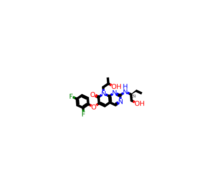 CC[C@@H](CO)Nc1ncc2cc(Oc3ccc(F)cc3F)c(=O)n(CC(C)O)c2n1